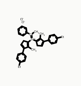 CCc1ccc(C2=CC[C]([Zr+2]([C]3=C(C)C(c4ccc(CC)cc4)=CC3)=[Ge]([CH3])[c]3ccccc3)=C2C)cc1.[Cl-].[Cl-]